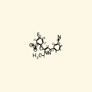 CCn1nc(-c2cccc(C#N)c2)cc1Oc1ccc(F)cc1[N+](=O)[O-]